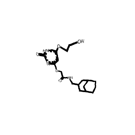 O=C(COc1cc(OCCO)[nH]c(=O)n1)NCC1CC2CCCC(C2)C1